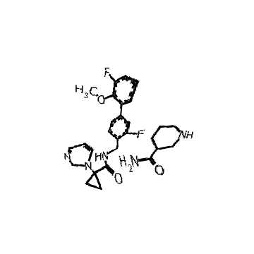 COc1c(F)cccc1-c1ccc(CNC(=O)C2(N3C=CC=NC3)CC2)c(F)c1.NC(=O)C1CCCNC1